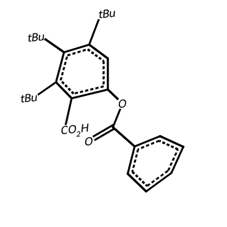 CC(C)(C)c1cc(OC(=O)c2ccccc2)c(C(=O)O)c(C(C)(C)C)c1C(C)(C)C